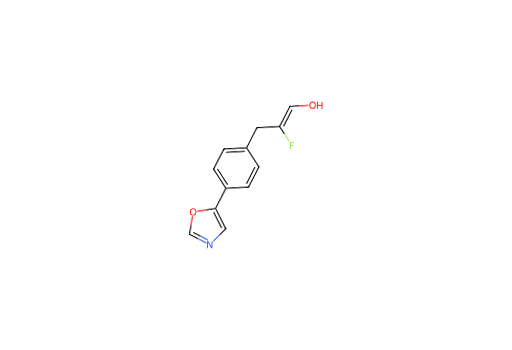 O/C=C(\F)Cc1ccc(-c2cnco2)cc1